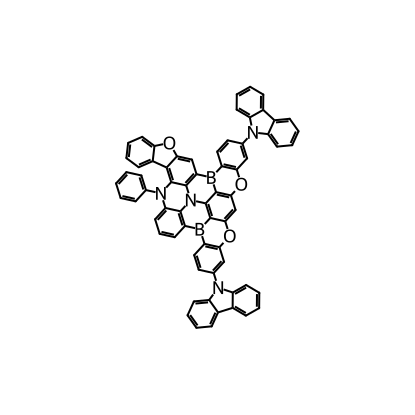 c1ccc(N2c3cccc4c3N3c5c6c(cc7c5B(c5ccc(-n8c9ccccc9c9ccccc98)cc5O7)c5cc7oc8ccccc8c7c2c53)Oc2cc(-n3c5ccccc5c5ccccc53)ccc2B46)cc1